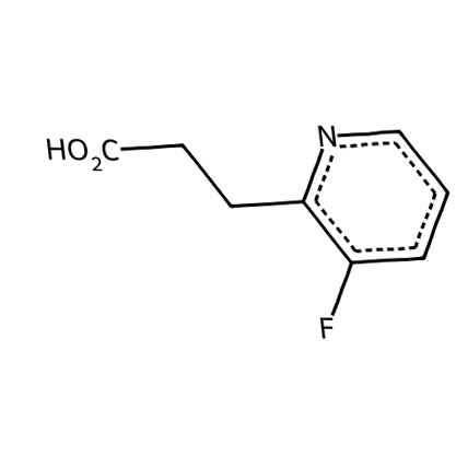 O=C(O)CCc1ncccc1F